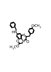 COC(=O)CN1C(=O)C(Cc2ccc(OC)cc2)Sc2cc(NCc3ccccc3)ccc21